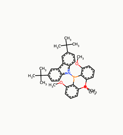 COc1cccc(OC)c1P(c1c(OC)cccc1OC)n1c2ccc(C(C)(C)C)cc2c2cc(C(C)(C)C)ccc21